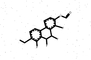 CCc1ccc2c(c1F)C(F)C(F)c1c-2ccc(OC=O)c1F